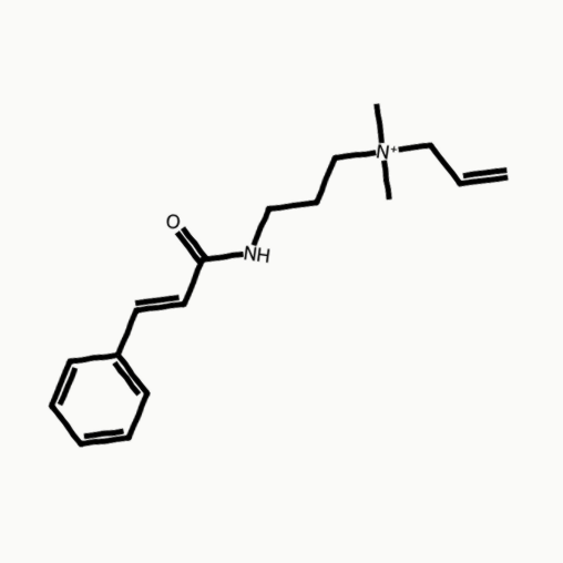 C=CC[N+](C)(C)CCCNC(=O)C=Cc1ccccc1